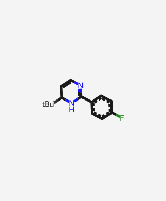 CC(C)(C)C1C=CN=C(c2ccc(F)cc2)N1